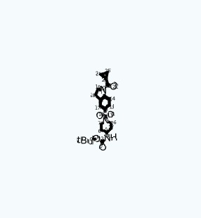 CC(C)(C)OC(=O)NC1CCN(S(=O)(=O)c2ccc3c(c2)CCN3C(=O)C2CC2)CC1